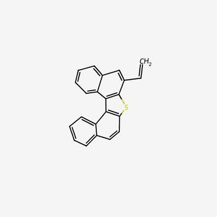 C=Cc1cc2ccccc2c2c1sc1ccc3ccccc3c12